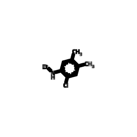 CCNc1cc(C)c(C)cc1Cl